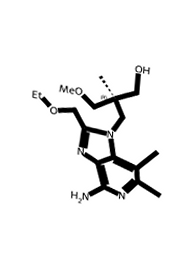 CCOCc1nc2c(N)nc(C)c(C)c2n1C[C@](C)(CO)COC